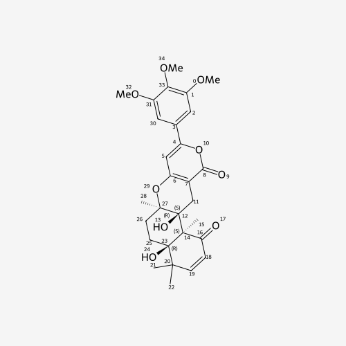 COc1cc(-c2cc3c(c(=O)o2)C[C@]2(O)[C@@]4(C)C(=O)C=CC(C)(C)[C@]4(O)CC[C@@]2(C)O3)cc(OC)c1OC